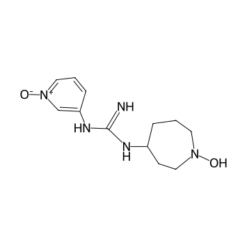 N=C(Nc1ccc[n+]([O-])c1)NC1CCCN(O)CC1